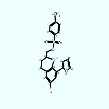 Cc1ccc(S(=O)(=O)OCC2CCc3cc(F)cc(-c4ccco4)c3O2)cc1